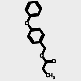 CCC(=O)OCc1ccc(Oc2ccccc2)cc1